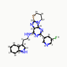 Fc1cncc(-c2nc(NCCc3c[nH]c4ccccc34)c3nc4n(c3n2)CCCS4)c1